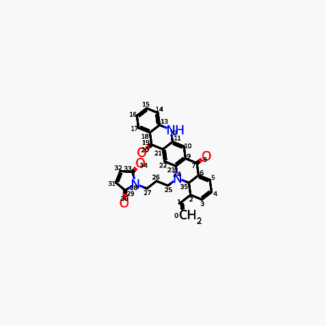 C=CC1C=CC=C2C(=O)c3cc4[nH]c5ccccc5c(=O)c4cc3N(CCCN3C(=O)C=CC3=O)C21